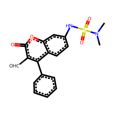 CN(C)S(=O)(=O)Nc1ccc2c(-c3ccccc3)c(C=O)c(=O)oc2c1